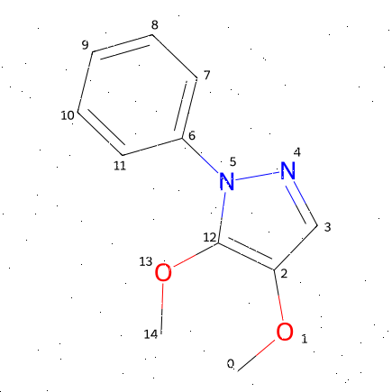 COc1cnn(-c2ccccc2)c1OC